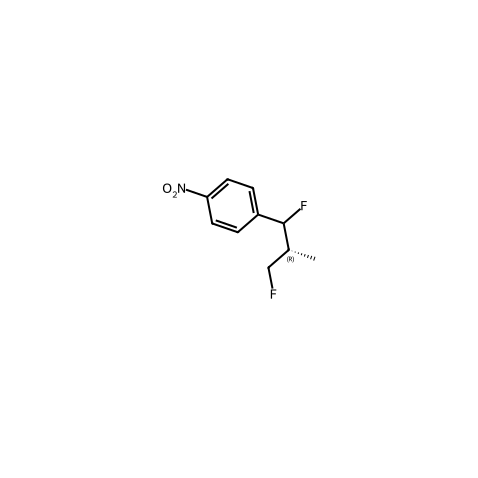 C[C@H](CF)C(F)c1ccc([N+](=O)[O-])cc1